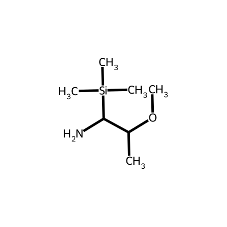 COC(C)C(N)[Si](C)(C)C